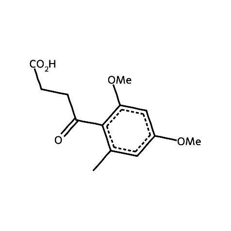 COc1cc(C)c(C(=O)CCC(=O)O)c(OC)c1